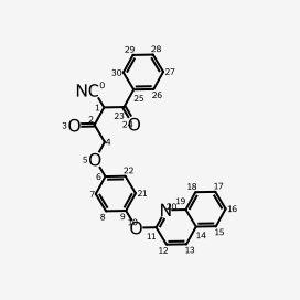 N#CC(C(=O)COc1ccc(Oc2ccc3ccccc3n2)cc1)C(=O)c1ccccc1